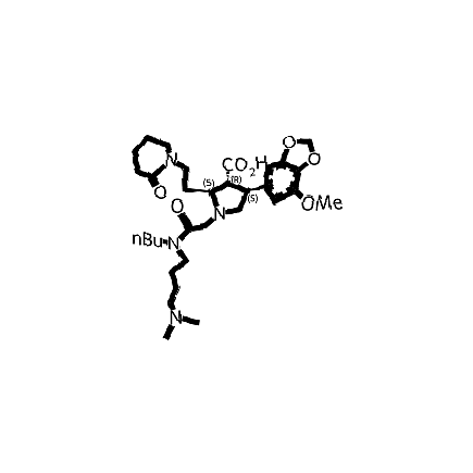 CCCCN(CCCCN(C)C)C(=O)CN1C[C@H](c2cc(OC)c3c(c2)OCO3)[C@@H](C(=O)O)[C@@H]1CCN1CCCCC1=O